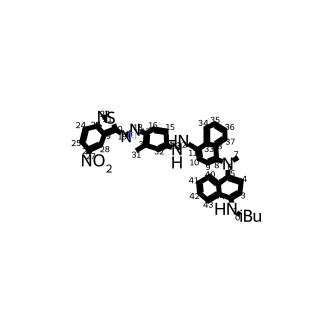 CCC(C)Nc1ccc(N(C)c2ccc(NNc3ccc(/N=N/c4snc5ccc([N+](=O)[O-])cc45)c(C)c3)c3ccccc23)c2ccccc12